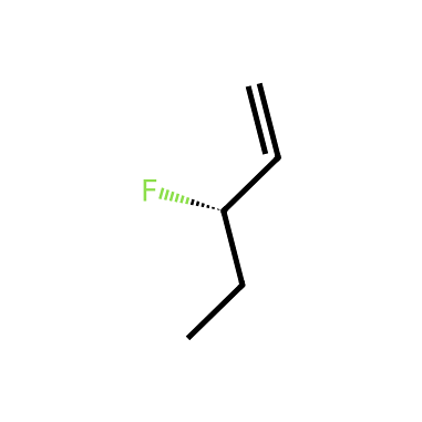 C=C[C@@H](F)CC